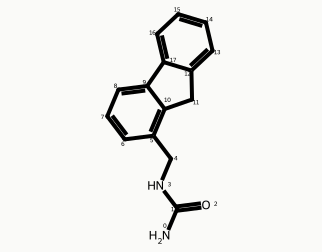 NC(=O)NCc1cccc2c1Cc1ccccc1-2